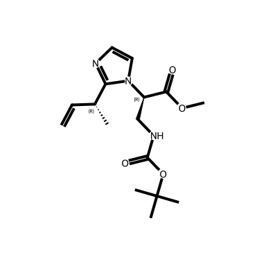 C=C[C@@H](C)c1nccn1[C@H](CNC(=O)OC(C)(C)C)C(=O)OC